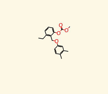 CCc1cccc(OC(=O)OC)c1COc1ccc(C)c(C)c1